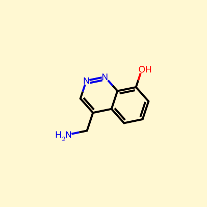 NCc1cnnc2c(O)cccc12